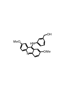 COc1ccc2nc3ccc(OC)cc3c(Nc3cccc(CO)c3)c2c1